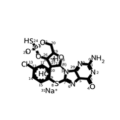 NC1=NC(=O)C2N=C(Sc3ccc(Cl)cc3)N([C@@H]3OC4CO[P+]([O-])(S)O[C@@H]4C3O)C2=N1.[Na+]